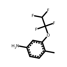 Cc1ccc(N)cc1OC(F)(F)C(F)F